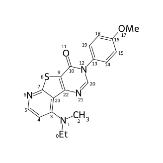 CCN(C)c1ccnc2sc3c(=O)n(-c4ccc(OC)cc4)cnc3c12